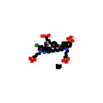 CC1(C)C2=CC(Cl)=CN(CCCCS(=O)(=O)[O-])C2=N/C1=C/C=C/C(=C/C=C/C1=[N+](CCCCS(=O)(=O)[O-])c2ccc(S(=O)(=O)[O-])cc2C1(C)C)c1cccc(CCCC(=O)O)c1.[Na+].[Na+]